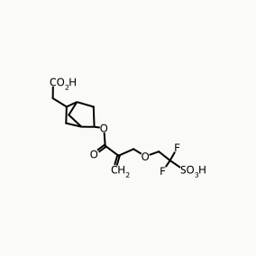 C=C(COCC(F)(F)S(=O)(=O)O)C(=O)OC1CC2CC1CC2CC(=O)O